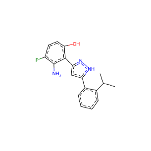 CC(C)c1ccccc1-c1cc(-c2c(O)ccc(F)c2N)n[nH]1